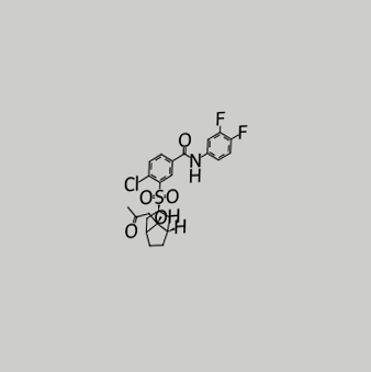 CC(=O)C[C@@]1(O)C2CC[C@H]1C[C@H](S(=O)(=O)c1cc(C(=O)Nc3ccc(F)c(F)c3)ccc1Cl)C2